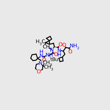 CC(C)(C)[C@H](NC(=O)NC1(CN2CCOCC2(C)C)CCCCC1)C(=O)N1C[C@]2(C[C@H]1C(=O)NC(CC1CCC1)C(=O)C(N)=O)C(C)(C)C21CCC1